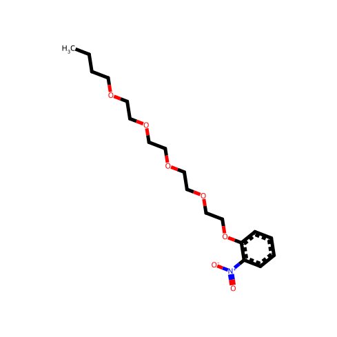 CCCCOCCOCCOCCOCCOc1ccccc1[N+](=O)[O-]